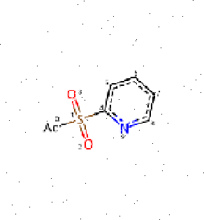 CC(=O)S(=O)(=O)c1ccccn1